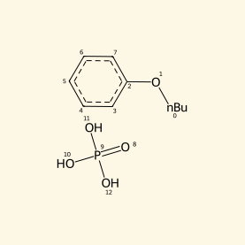 CCCCOc1ccccc1.O=P(O)(O)O